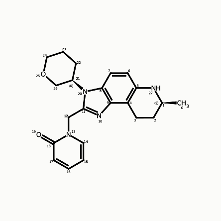 C[C@H]1CCc2c(ccc3c2nc(Cn2ccccc2=O)n3[C@@H]2CCCOC2)N1